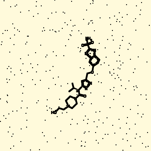 CC(C)[C@@H](C(=O)N1CCN(CCO)CC1)n1cc(COc2ccc3nc(S(N)(=O)=O)sc3c2)nn1